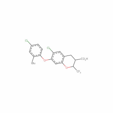 CC(C)(C)c1cc(Cl)ccc1Oc1cc2c(cc1Cl)CC(C(=O)O)C(C(F)(F)F)O2